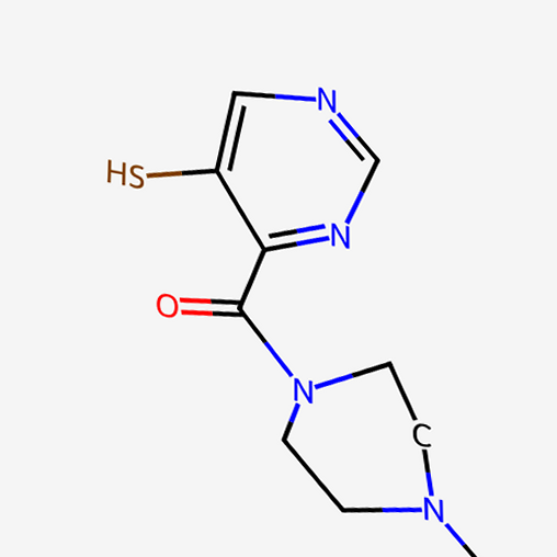 CN1CCN(C(=O)c2ncncc2S)CC1